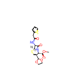 COC(=O)C1C(C2OCCO2)=CS[C@H]2C(NC(=O)Cc3cccs3)C(=O)N12